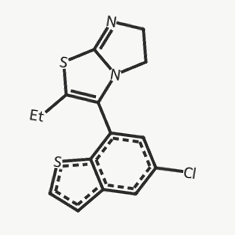 CCC1=C(c2cc(Cl)cc3ccsc23)N2CCN=C2S1